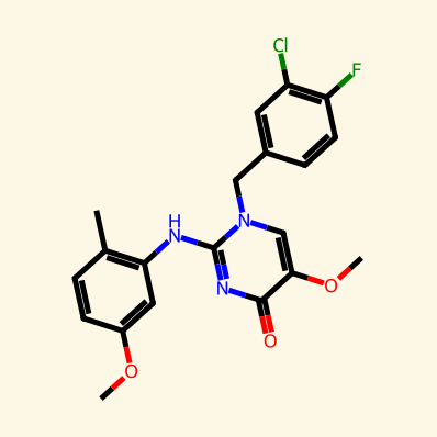 COc1ccc(C)c(Nc2nc(=O)c(OC)cn2Cc2ccc(F)c(Cl)c2)c1